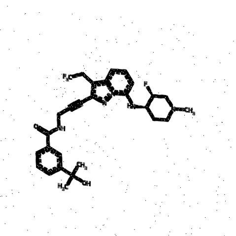 CN1CC[C@@H](Nc2cccc3c(CC(F)(F)F)c(C#CCNC(=O)c4cccc(C(C)(C)O)c4)nn23)[C@@H](F)C1